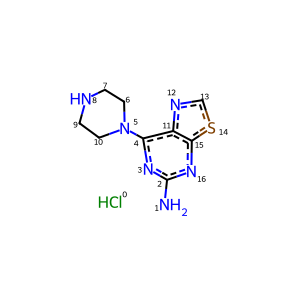 Cl.Nc1nc(N2CCNCC2)c2ncsc2n1